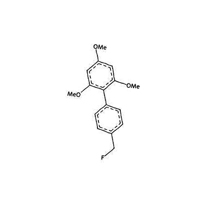 COc1cc(OC)c(-c2ccc(CF)cc2)c(OC)c1